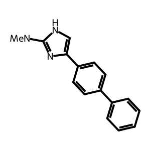 CNc1nc(-c2ccc(-c3ccccc3)cc2)c[nH]1